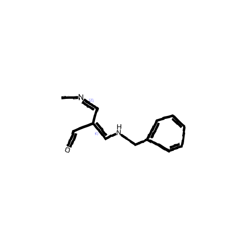 C/N=C\C(C=O)=C/NCc1ccccc1